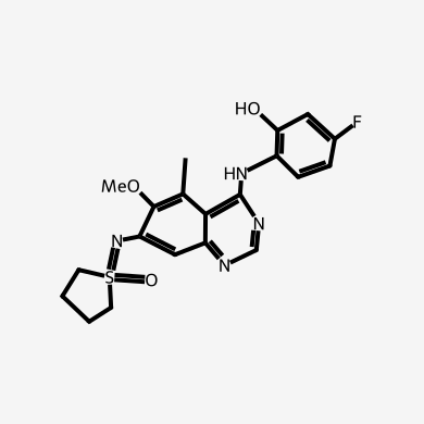 COc1c(N=S2(=O)CCCC2)cc2ncnc(Nc3ccc(F)cc3O)c2c1C